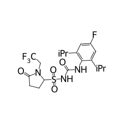 CC(C)c1cc(F)cc(C(C)C)c1NC(=O)NS(=O)(=O)C1CCC(=O)N1CC(F)(F)F